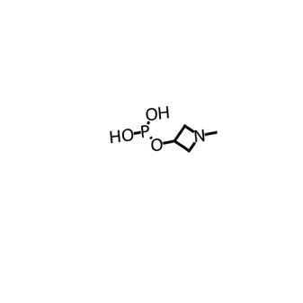 CN1CC(OP(O)O)C1